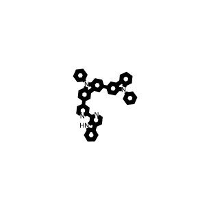 c1ccc(-n2c3ccccc3c3cc(-c4ccc5c(c4)c4cc(-c6ccnc(-c7nccc8c7[nH]c7ccccc78)c6)ccc4n5-c4ccccc4)ccc32)cc1